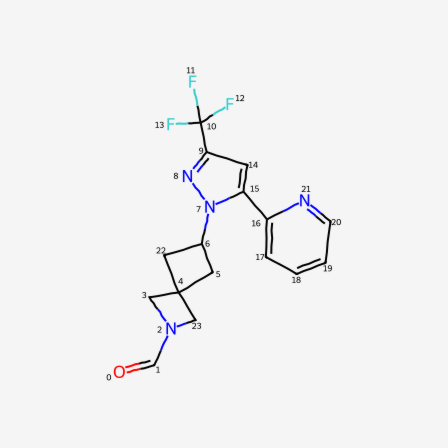 O=CN1CC2(CC(n3nc(C(F)(F)F)cc3-c3ccccn3)C2)C1